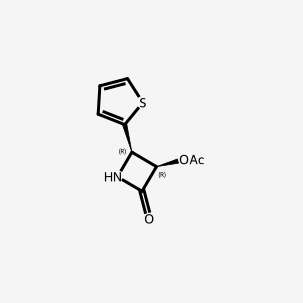 CC(=O)O[C@H]1C(=O)N[C@H]1c1cccs1